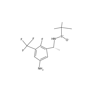 C[C@@H](N[S+]([O-])C(C)(C)C)c1cc(N)cc(C(F)(F)F)c1F